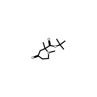 CN1CCC(=O)CC1(C)C(=O)OC(C)(C)C